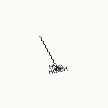 CCCCCCCCCCCCCCCCNC(C)(C(C)(C)O)S(=O)(=O)O